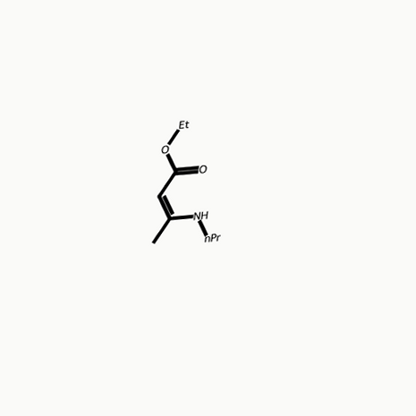 CCCN/C(C)=C\C(=O)OCC